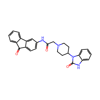 O=C(CN1CCC(n2c(=O)[nH]c3ccccc32)CC1)Nc1ccc2c(c1)-c1ccccc1C2=O